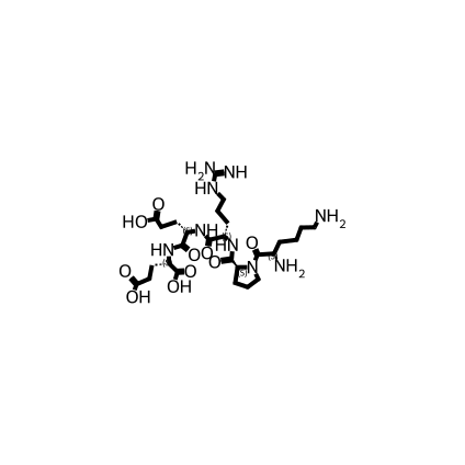 N=C(N)NCCC[C@H](NC(=O)[C@@H]1CCCN1C(=O)[C@@H](N)CCCCN)C(=O)N[C@@H](CCC(=O)O)C(=O)N[C@@H](CCC(=O)O)C(=O)O